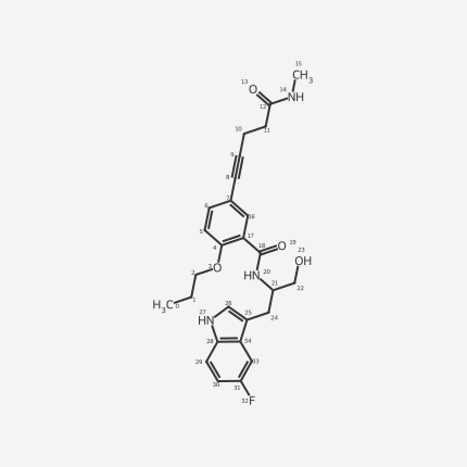 CCCOc1ccc(C#CCCC(=O)NC)cc1C(=O)NC(CO)Cc1c[nH]c2ccc(F)cc12